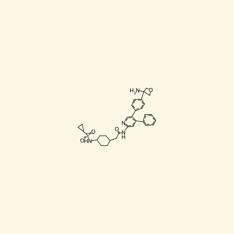 NC1(c2ccc(-c3cnc(NC(=O)CC4CCC(NS(=O)(=O)C5CC5)CC4)cc3-c3ccccc3)cc2)COC1